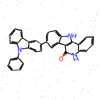 O=c1[nH]c2ccccc2c2[nH]c3ccc(-c4ccc5c(c4)c4ccccc4n5-c4ccccc4)cc3c12